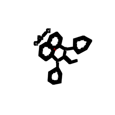 CC=C(P(c1ccccc1)c1ccccc1)P(c1ccccc1)c1ccccc1.[Cl][Pd][Cl]